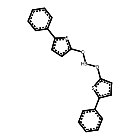 B(Oc1ccc(-c2ccccc2)s1)Oc1ccc(-c2ccccc2)s1